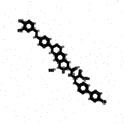 COC(=O)[C@@H](Cc1ccc(-c2ccc(C#N)cc2)cc1)NC(=O)[C@@H]1Cc2cc3c(cc2CN1)OC(c1ccc(OCc2ccc(Cl)c(Cl)c2)cc1)CO3.Cl